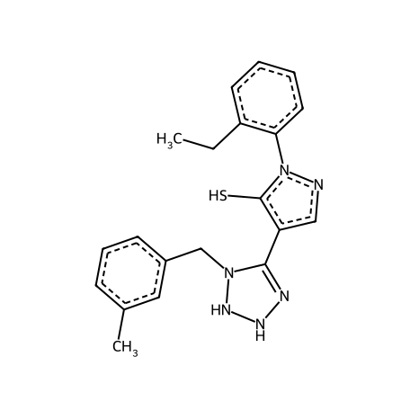 CCc1ccccc1-n1ncc(C2=NNNN2Cc2cccc(C)c2)c1S